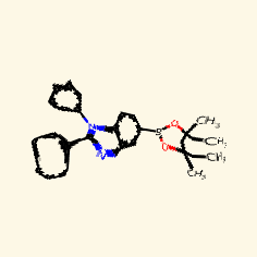 CC1(C)OB(c2ccc3c(c2)nc(-c2ccccc2)n3-c2ccccc2)OC1(C)C